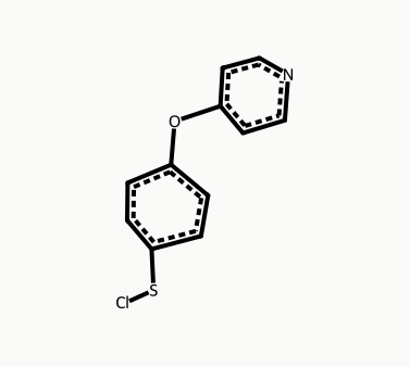 ClSc1ccc(Oc2ccncc2)cc1